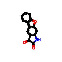 O=C1Nc2cc3oc4ccccc4c3cc2C1=O